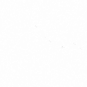 CCc1nnc(NC(=O)c2nn3c(c2C2CC2)C(=O)N(CC2CCC(F)(F)CC2)CC3)s1